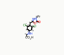 CC(C)n1nc(Cc2c(Cl)cc(NCC(=O)O)cc2Cl)oc1=O